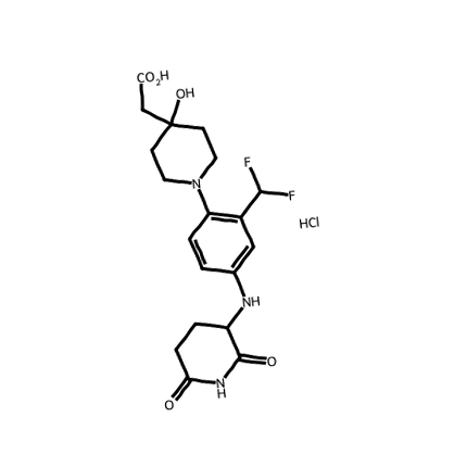 Cl.O=C(O)CC1(O)CCN(c2ccc(NC3CCC(=O)NC3=O)cc2C(F)F)CC1